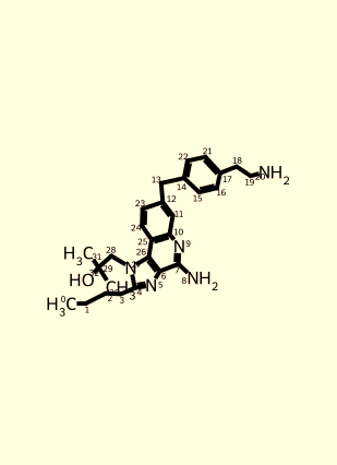 CCCCc1nc2c(N)nc3cc(Cc4ccc(CCN)cc4)ccc3c2n1CC(C)(C)O